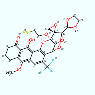 COc1c2c(c(O)c3c4c(c(C(F)(F)F)cc13)C1OC3(C5OCCO5)OC1[C@@](OCCS)(O4)[C@@]31CO1)C(=O)CCC2